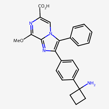 COc1nc(C(=O)O)cn2c(-c3ccccc3)c(-c3ccc(C4(N)CCC4)cc3)nc12